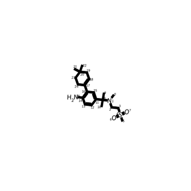 CN(CCS(C)(=O)=O)C(C)(C)c1ccc(N)c(C2=CCC(C)(C)CC2)c1